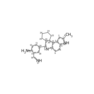 Cc1cc2c(ccc3nc(-c4ccc(N)c(C=N)c4)c4c(c32)CCCC4)[nH]1